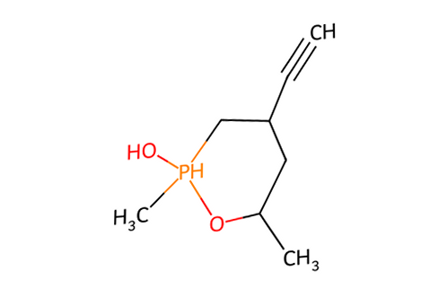 C#CC1CC(C)O[PH](C)(O)C1